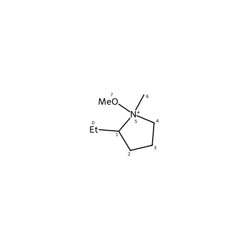 CCC1CCC[N+]1(C)OC